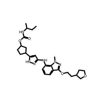 CCC(C)NC(=O)OC1CCC(c2cc(Nc3cccc4c(OCCC5CCOC5)nn(C)c34)n[nH]2)C1